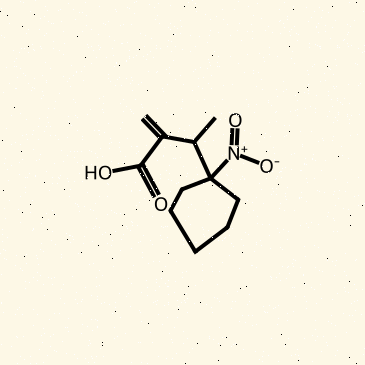 C=C(C(=O)O)C(C)C1([N+](=O)[O-])CCCCC1